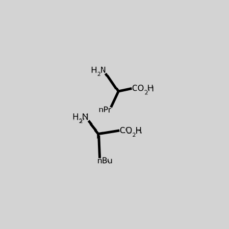 CCCC(N)C(=O)O.CCCCC(N)C(=O)O